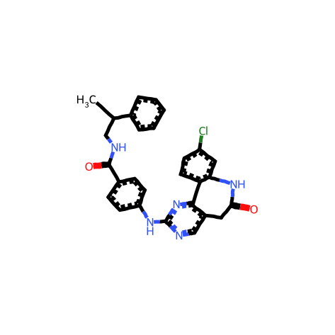 CC(CNC(=O)c1ccc(Nc2ncc3c(n2)-c2ccc(Cl)cc2NC(=O)C3)cc1)c1ccccc1